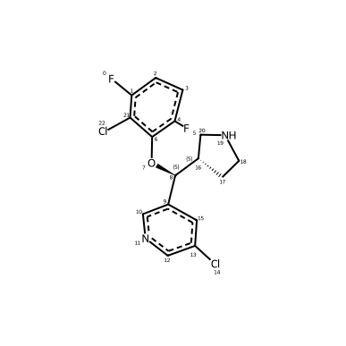 Fc1ccc(F)c(O[C@H](c2cncc(Cl)c2)[C@H]2CCNC2)c1Cl